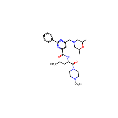 CCOC(=O)N1CCN(C(=O)C(CCC(=O)O)NC(=O)c2cc(CN3CC(C)OC(C)C3)nc(-c3ccccc3)n2)CC1